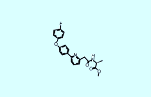 COC(=O)[C@H](C)NC(=O)Cc1cccc(-c2ccc(Oc3ccc(F)cc3)cc2)n1